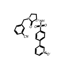 N#Cc1cccc(CN2CC[C@H](NS(=O)(=O)c3ccc(-c4ccc[n+]([O-])c4)cc3)C2=O)c1